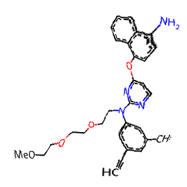 [CH]c1cc(C#C)cc(N(CCOCCOCCOC)c2nccc(Oc3ccc(N)c4ccccc34)n2)c1